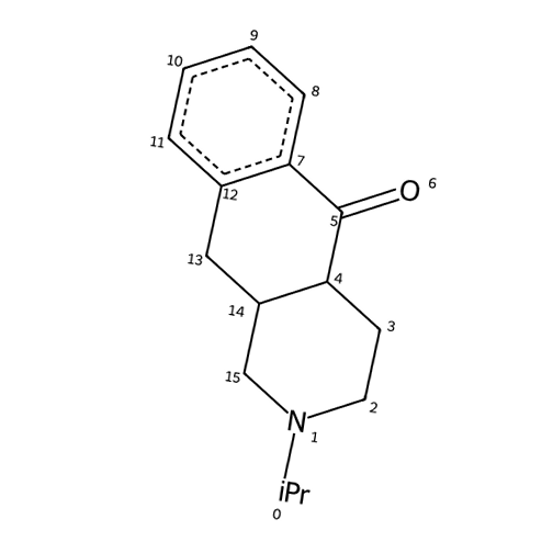 CC(C)N1CCC2C(=O)c3ccccc3CC2C1